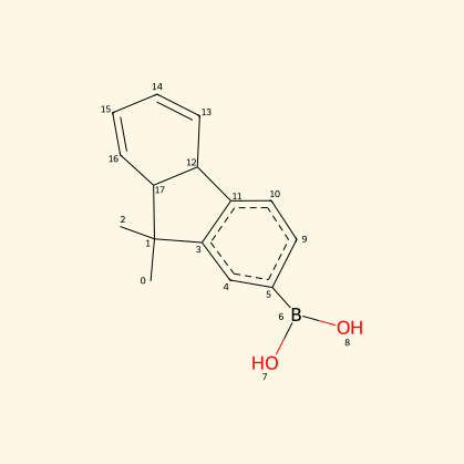 CC1(C)c2cc(B(O)O)ccc2C2C=CC=CC21